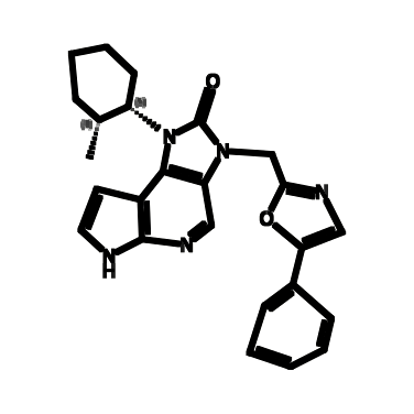 C[C@@H]1CCCC[C@@H]1n1c(=O)n(Cc2ncc(-c3ccccc3)o2)c2cnc3[nH]ccc3c21